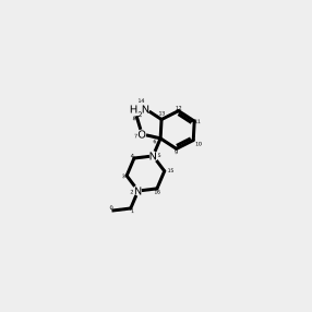 CCN1CCN(C2(OC)C=CC=CC2N)CC1